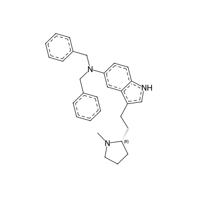 CN1CCC[C@H]1CCc1c[nH]c2ccc(N(Cc3ccccc3)Cc3ccccc3)cc12